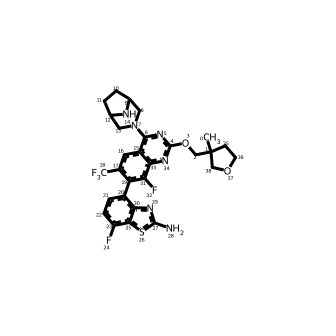 CC1(COc2nc(N3CC4CCC(C3)N4)c3cc(C(F)(F)F)c(-c4ccc(F)c5sc(N)nc45)c(F)c3n2)CCOC1